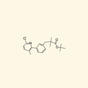 Cc1ccc(Cl)nc1-c1cccc(CC(C)(C)C(=O)OC(C)(C)C)c1